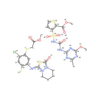 COC(=O)CSc1cc(/N=c2\sc(=O)n3n2CCCC3)c(F)cc1Cl.COC(=O)c1sccc1S(=O)(=O)NC(=O)Nc1nc(C)nc(OC)n1